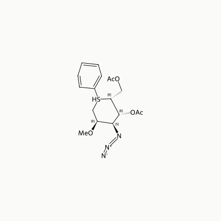 CO[C@H]1C[SH](c2ccccc2)[C@H](COC(C)=O)[C@H](OC(C)=O)[C@H]1N=[N+]=[N-]